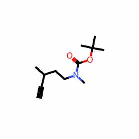 C#CC(C)CCN(C)C(=O)OC(C)(C)C